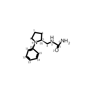 NC(=O)NC[C@@H]1CCCN1c1ccccc1